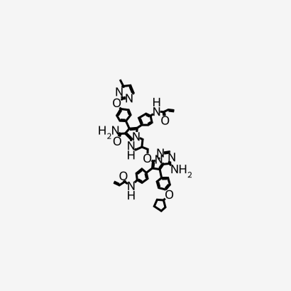 C=CC(=O)Nc1ccc(-c2c(-c3ccc(OC4CCCC4)cc3)c3c(N)ncnn3c2OCC2CNc3c(C(N)=O)c(-c4ccc(Oc5nccc(C)n5)cc4)c(-c4ccc(NC(=O)C=C)cc4)n3C2)cc1